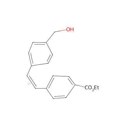 CCOC(=O)c1ccc(/C=C\c2ccc(CO)cc2)cc1